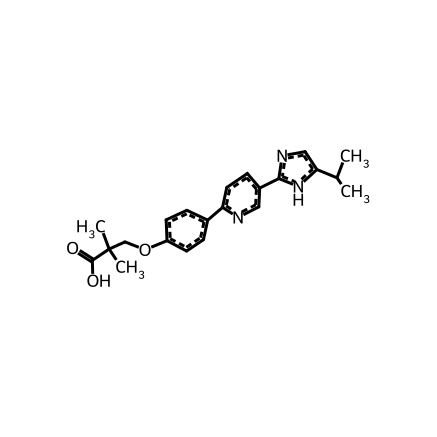 CC(C)c1cnc(-c2ccc(-c3ccc(OCC(C)(C)C(=O)O)cc3)nc2)[nH]1